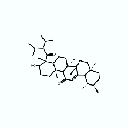 CC(C)N(C(=O)[C@]1(C)C2CC[C@]3(C)C(C(=O)C=C4C5[C@@H](C)[C@H](C)CC[C@]5(C)CC[C@]43C)[C@@]2(C)CC[C@H]1O)C(C)C